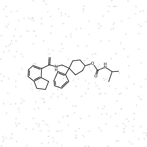 C=C(NCC1(c2ccccc2)CCC(OC(=O)NC(C)C)CC1)c1cccc2c1CCC2